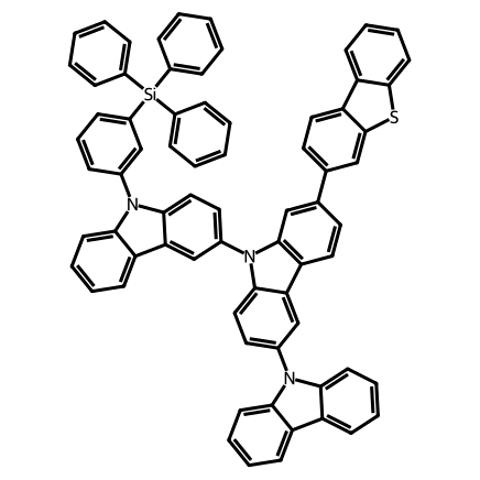 c1ccc([Si](c2ccccc2)(c2ccccc2)c2cccc(-n3c4ccccc4c4cc(-n5c6ccc(-n7c8ccccc8c8ccccc87)cc6c6ccc(-c7ccc8c(c7)sc7ccccc78)cc65)ccc43)c2)cc1